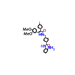 COc1ccc(/C=C(/C(=O)NCc2ccc(C(=O)Nc3ccccc3N)cc2)c2ccc(C)cc2)cc1OC